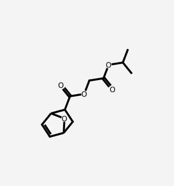 CC(C)OC(=O)COC(=O)C1CC2C=CC1O2